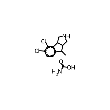 CC1c2ccc(Cl)c(Cl)c2C2CNCC12.NC(=O)O